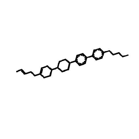 CC=CCCC1=CCC(C2CCC(c3ccc(-c4ccc(CCCCC)cc4)cc3)CC2)CC1